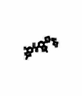 Cc1cn2cc(NC(=O)c3ccc(N4CC[C@H](NC5COC5)C4)c4cn(C)nc34)cc(F)c2n1